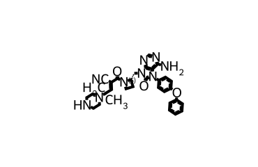 CC(C)(C=C(C#N)C(=O)N1CC[C@H]1Cn1c(=O)n(-c2ccc(Oc3ccccc3)cc2)c2c(N)ncnc21)N1CCNCC1